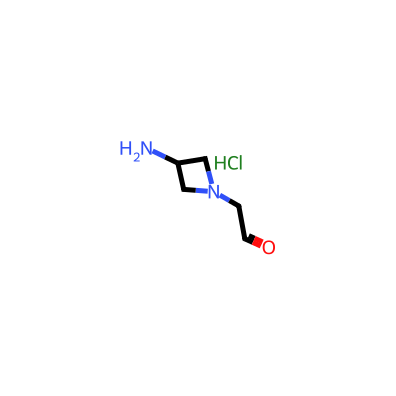 Cl.NC1CN(CC=O)C1